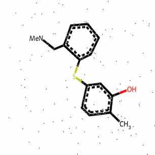 CNCc1ccccc1Sc1ccc(C)c(O)c1